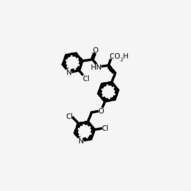 O=C(O)/C(=C/c1ccc(OCc2c(Cl)cncc2Cl)cc1)NC(=O)c1cccnc1Cl